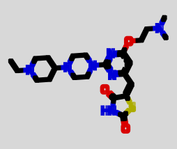 CCN1CCC(N2CCN(c3nc(C=C4SC(=O)NC4=O)cc(OCCN(C)C)n3)CC2)CC1